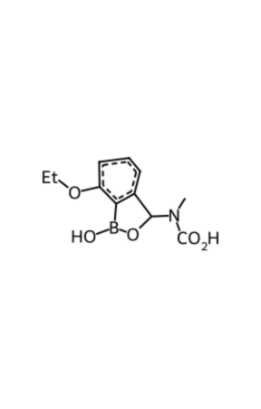 CCOc1cccc2c1B(O)OC2N(C)C(=O)O